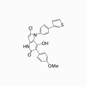 COc1ccc(-c2c(O)c3c(cc(Cl)n3-c3ccc(-c4ccsc4)cc3)[nH]c2=O)cc1